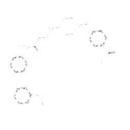 O=C(CCNC1CCN(Cc2ccc(C(=O)O)cc2)CC1)Nc1ccc(Oc2ccc3c(c2)OCO3)cc1